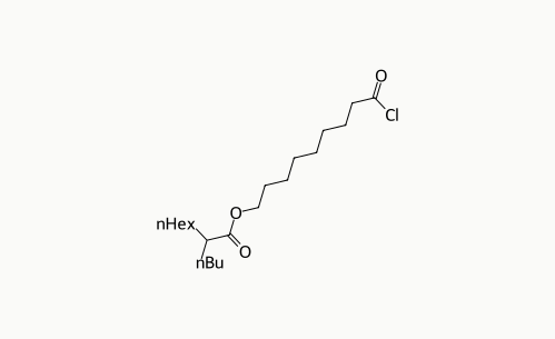 CCCCCCC(CCCC)C(=O)OCCCCCCCCC(=O)Cl